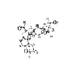 CC(=O)C(C)Cc1cccc(CC(Cc2cccc(CC(C)(C(C)=O)C(C)=O)c2)(C(C)=O)C(C)=O)c1